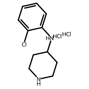 Cl.Cl.Clc1ccccc1NC1CCNCC1